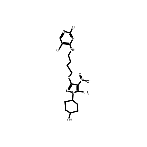 Cc1c([N+](=O)[O-])c(OCCCCNc2nc(Cl)ncc2Cl)nn1C1CCC(O)CC1